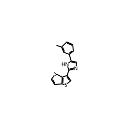 Cc1cccc(-c2cnc(-c3csc4ccsc34)[nH]2)c1